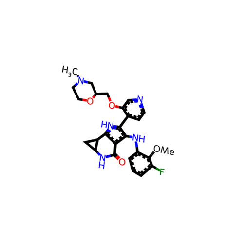 COc1c(F)cccc1Nc1c(-c2ccncc2OCC2CN(C)CCO2)[nH]c2c1C(=O)NC1CC21